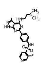 CN(C)CCNc1nc(-c2ccc(NS(=O)(=O)c3ccncc3F)cc2)nc2[nH]nc(I)c12